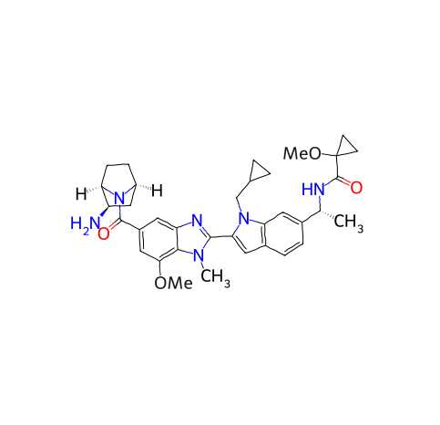 COc1cc(C(=O)N2[C@H]3CC[C@@H]2[C@H](N)C3)cc2nc(-c3cc4ccc([C@@H](C)NC(=O)C5(OC)CC5)cc4n3CC3CC3)n(C)c12